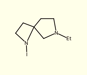 CCN1CCC2(CCN2I)C1